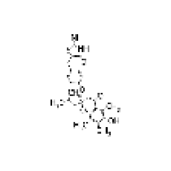 Cc1c(C)c2c(c(C)c1O)C(=O)CC(COc1ccc(CC3SC(=N)NC3=O)cc1)(CC(C)C)O2